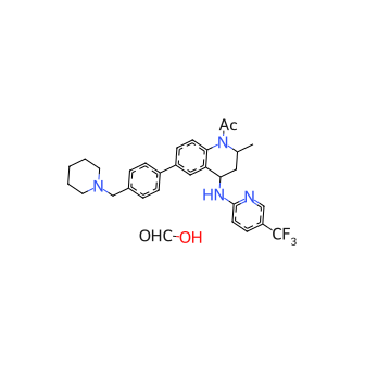 CC(=O)N1c2ccc(-c3ccc(CN4CCCCC4)cc3)cc2C(Nc2ccc(C(F)(F)F)cn2)CC1C.O=CO